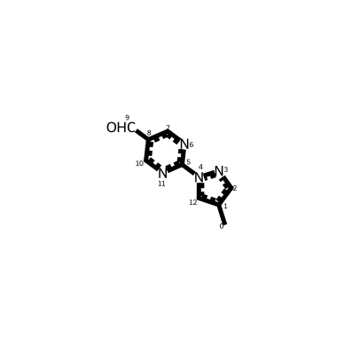 Cc1cnn(-c2ncc(C=O)cn2)c1